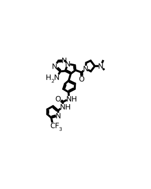 CN(C)C1CCN(C(=O)c2cn3ncnc(N)c3c2-c2ccc(NC(=O)Nc3cccc(C(F)(F)F)n3)cc2)C1